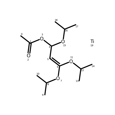 CC(=O)OC(C=C(OC(C)C)OC(C)C)OC(C)C.[Ti]